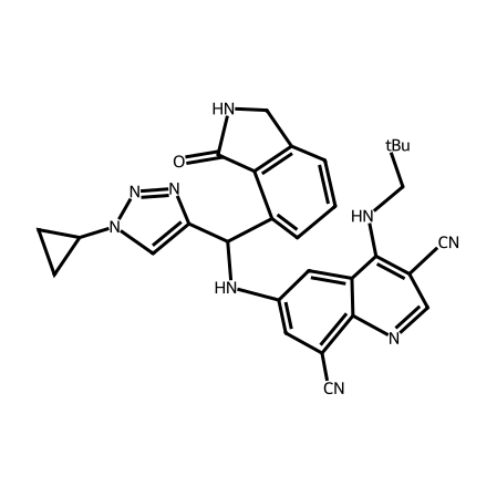 CC(C)(C)CNc1c(C#N)cnc2c(C#N)cc(NC(c3cn(C4CC4)nn3)c3cccc4c3C(=O)NC4)cc12